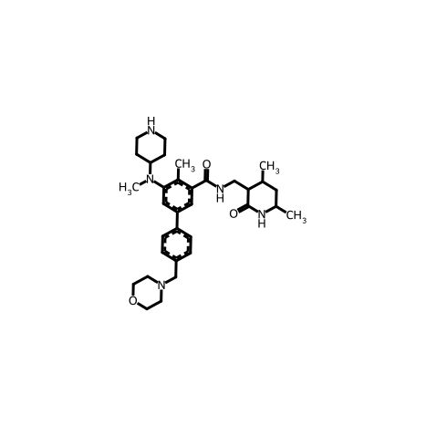 Cc1c(C(=O)NCC2C(=O)NC(C)CC2C)cc(-c2ccc(CN3CCOCC3)cc2)cc1N(C)C1CCNCC1